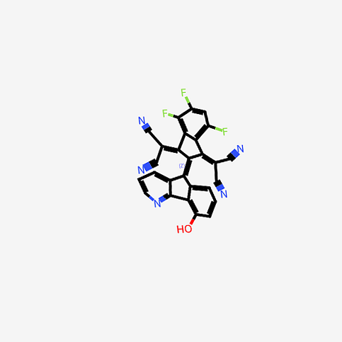 N#CC(C#N)=C1/C(=C2/c3cccnc3-c3c(O)cccc32)C(=C(C#N)C#N)c2c(F)c(F)cc(F)c21